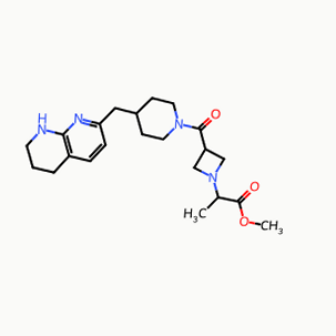 COC(=O)C(C)N1CC(C(=O)N2CCC(Cc3ccc4c(n3)NCCC4)CC2)C1